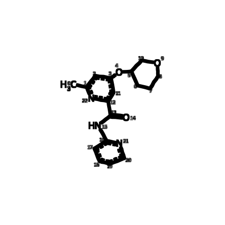 Cc1cc(OC2CCCOC2)cc(C(=O)Nc2ccccn2)n1